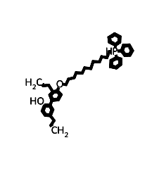 C=CCc1ccc(O)c(-c2ccc(OCCCCCCCCCCCC[PH](c3ccccc3)(c3ccccc3)c3ccccc3)c(CC=C)c2)c1